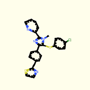 Cn1c(-c2ccccn2)nc(-c2ccc(-c3nccs3)cc2)c1Sc1ccc(Cl)cc1